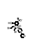 C#Cc1cc([N+](=O)[O-])cc(S(=O)(=O)N2CCN(c3cccnc3)CC2)c1N(CCBr)CCBr